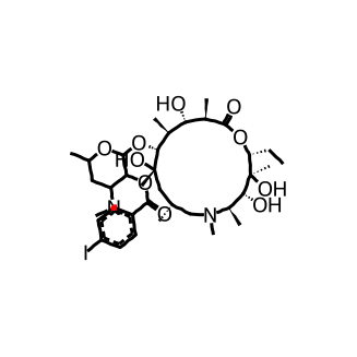 CC[C@H]1OC(=O)[C@H](C)[C@@H](O)[C@H](C)[C@@H](OC2OC(C)CC(N(C)C)C2OC(=O)c2ccc(I)cc2)[C@@](C)(O)C[C@@H](C)CN(C)[C@H](C)[C@@H](O)[C@]1(C)O